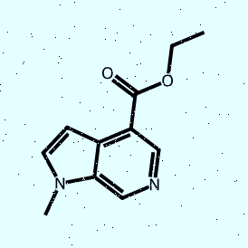 CCOC(=O)c1cncc2c1ccn2C